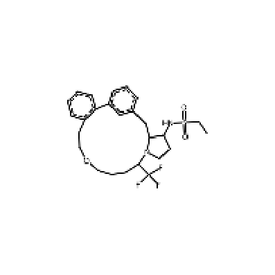 CCS(=O)(=O)NC1CCN2C1Cc1cccc(c1)-c1ccccc1CCOCCCC2C(F)(F)F